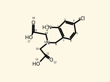 Nc1cc(Cl)ccc1CN(CC(=O)O)CC(=O)O